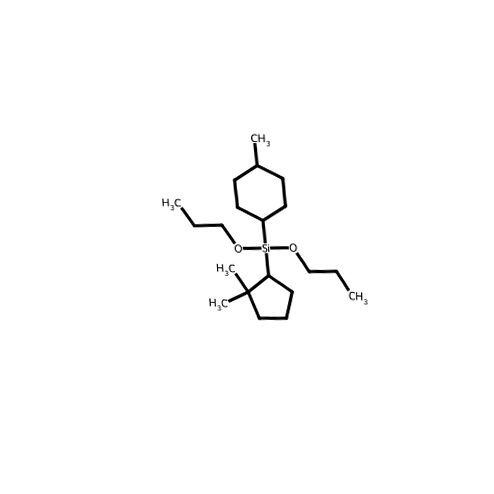 CCCO[Si](OCCC)(C1CCC(C)CC1)C1CCCC1(C)C